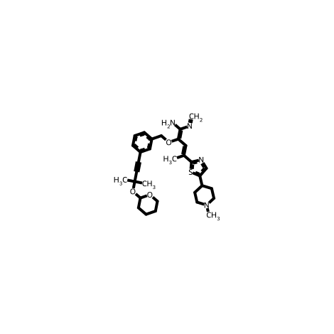 C=N/C(N)=C(\C=C(/C)c1ncc(C2CCN(C)CC2)s1)OCc1cccc(C#CC(C)(C)OC2CCCCO2)c1